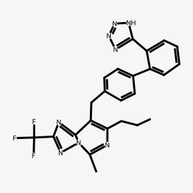 CCCc1nc(C)n2nc(C(F)(F)F)nc2c1Cc1ccc(-c2ccccc2-c2nnn[nH]2)cc1